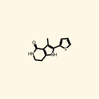 Cc1c(-c2cccs2)[nH]c2c1C(=O)NCC2